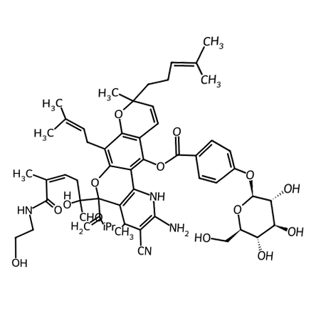 C=C(C(C)C)C1(C(O)(C=O)C/C=C(/C)C(=O)NCCO)Oc2c(CC=C(C)C)c3c(c(OC(=O)c4ccc(O[C@@H]5O[C@H](CO)[C@@H](O)[C@H](O)[C@H]5O)cc4)c2C2=C1C(C)C(C#N)=C(N)N2)C=CC(C)(CCC=C(C)C)O3